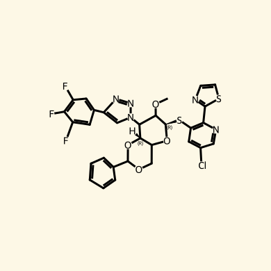 COC1C(n2cc(-c3cc(F)c(F)c(F)c3)nn2)[C@H]2OC(c3ccccc3)OCC2O[C@@H]1Sc1cc(Cl)cnc1-c1nccs1